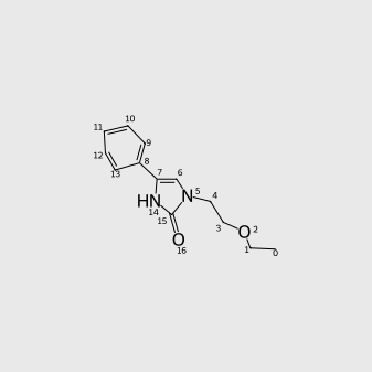 CCOCCn1cc(-c2ccccc2)[nH]c1=O